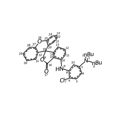 CCCCN(CCCC)c1ccc(Cl)c(Nc2cccc3c2C(=O)OC32c3ccccc3Oc3ccccc32)c1